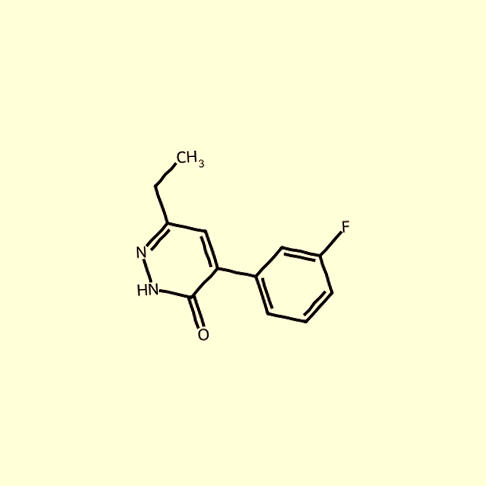 CCc1cc(-c2cccc(F)c2)c(=O)[nH]n1